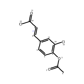 CC(=O)Oc1ccc(/C=C/C(=O)Cl)cc1Cl